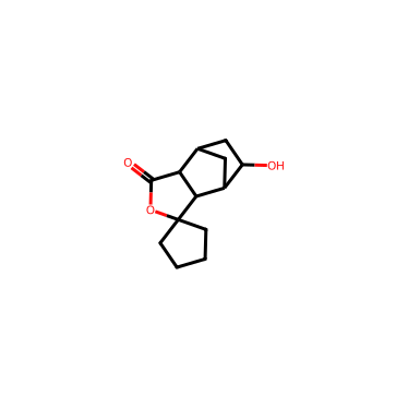 O=C1OC2(CCCC2)C2C3CC(CC3O)C12